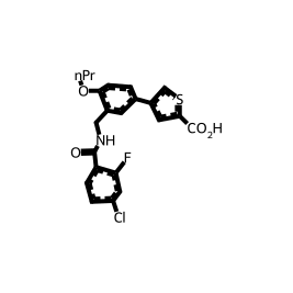 CCCOc1ccc(-c2csc(C(=O)O)c2)cc1CNC(=O)c1ccc(Cl)cc1F